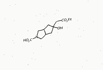 CCOC(=O)CC1(O)CC2CN(C(=O)O)CC2C1